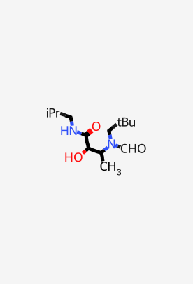 CC(C)CNC(=O)C(O)C(C)N(C=O)CC(C)(C)C